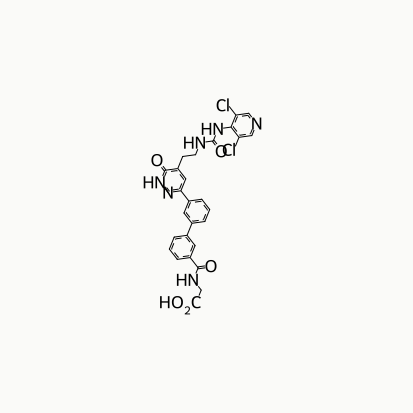 O=C(O)CNC(=O)c1cccc(-c2cccc(-c3cc(CCNC(=O)Nc4c(Cl)cncc4Cl)c(=O)[nH]n3)c2)c1